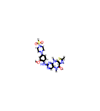 COc1cc(N2CCN(S(C)(=O)=O)CC2)ccc1Nc1ncc2c(n1)N(C)c1sc(C)nc1C(=O)N2C